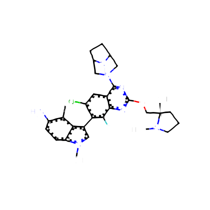 CN1CCC[C@@]1(C)COc1nc(N2CC3CCC(C2)N3)c2cc(Cl)c(-c3cn(C)c4ccc(N)c(C#N)c34)c(F)c2n1